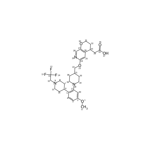 COc1ccc(C2CCN(CC(F)(F)F)CC2)c(N2CCC(COc3cc4c(cn3)OCCC4CC(=O)O)CC2)c1